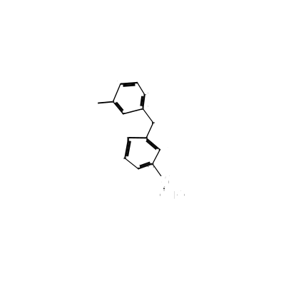 Cc1cccc(Cc2cccc(OC=O)c2)c1